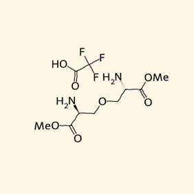 COC(=O)[C@@H](N)COC[C@H](N)C(=O)OC.O=C(O)C(F)(F)F